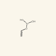 C=CO[As](O)O